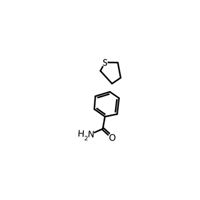 C1CCSC1.NC(=O)c1ccccc1